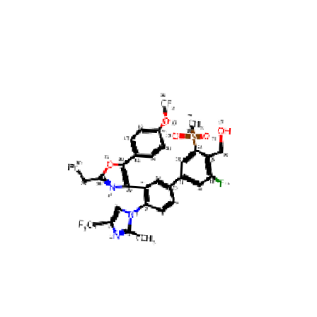 Cc1nc(C(F)(F)F)cn1-c1ccc(-c2cc(F)c(CO)c(S(C)(=O)=O)c2)cc1-c1nc(CC(C)C)oc1-c1ccc(OC(F)(F)F)cc1